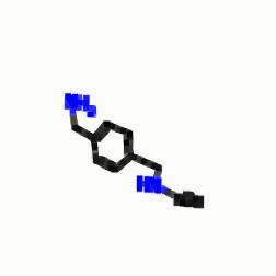 CCCCNCc1ccc(CN)cc1